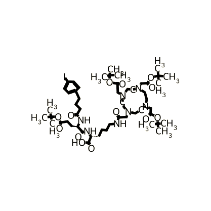 CC(C)(C)OC(=O)CC[C@@H](NC(=O)CCCc1ccc(I)cc1)C(=O)N[C@H](CCCCNC(=O)CN1CCN(CC(=O)OC(C)(C)C)CCN(CC(=O)OC(C)(C)C)CCN(CC(=O)OC(C)(C)C)CC1)C(=O)O